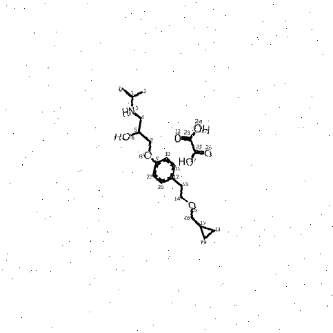 CC(C)NCC(O)COc1ccc(CCOCC2CC2)cc1.O=C(O)C(=O)O